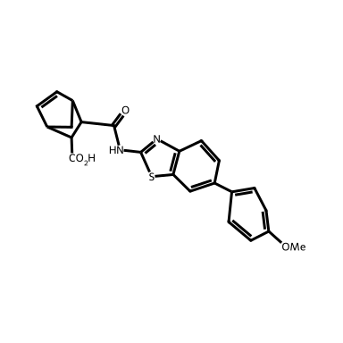 COc1ccc(-c2ccc3nc(NC(=O)C4C5C=CC(C5)C4C(=O)O)sc3c2)cc1